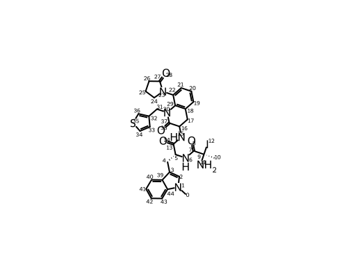 Cn1cc(C[C@@H](NC(=O)[C@](C)(N)I)C(=O)NC2Cc3cccc(N4CCCC4=O)c3N(Cc3ccsc3)C2=O)c2ccccc21